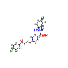 O=C(CCCN1CCC(C(O)c2nc3cc(Cl)ccc3[nH]2)CC1)c1ccc(F)cc1